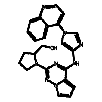 OCC1CCCN1c1nc(Nc2cn(-c3ccnc4ccccc34)cn2)c2cccn2n1